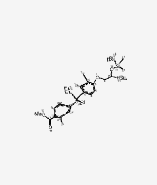 CCC(CC)(c1ccc(OC[C@@H](O[Si](C)(C)C(C)(C)C)C(C)(C)C)c(C)c1)c1ccc(C(=O)OC)c(C)c1